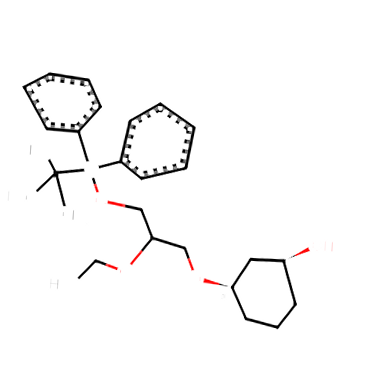 CCOC(CO[C@@H]1CCC[C@H](O)C1)CO[Si](c1ccccc1)(c1ccccc1)C(C)(C)C